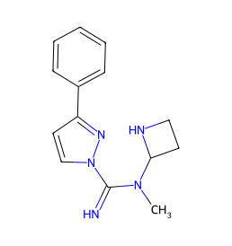 CN(C(=N)n1ccc(-c2ccccc2)n1)C1CCN1